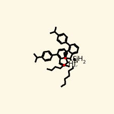 CCCCC[CH2][Hf]([CH3])([CH3])(=[SiH2])([CH2]CCCCC)([CH]1C=Cc2c(-c3ccc(C(C)C)cc3)cccc21)[CH]1C=Cc2c(-c3ccc(C(C)C)cc3)cccc21